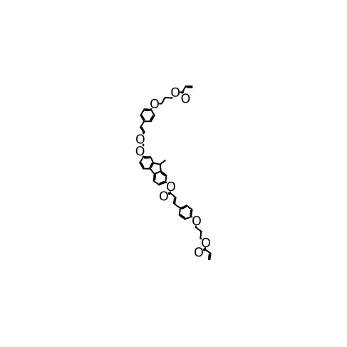 C=CC(=O)OCCCOc1ccc(C=COCOc2ccc3c(c2)C(C)c2cc(OC(=O)C=Cc4ccc(OCCCOC(=O)C=C)cc4)ccc2-3)cc1